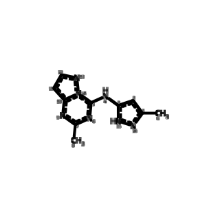 Cc1cc(Nc2nc(C)nc3ccnn23)[nH]n1